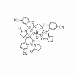 CC1(C)Oc2ccc(C#N)cc2[C@@H](N2CCCC2=O)[C@H]1OP(=O)(O[C@@H]1[C@H](N2CCCC2=O)c2cc(C#N)ccc2OC1(C)C)O[C@@H]1[C@H](N2CCCC2=O)c2cc(C#N)ccc2OC1(C)C